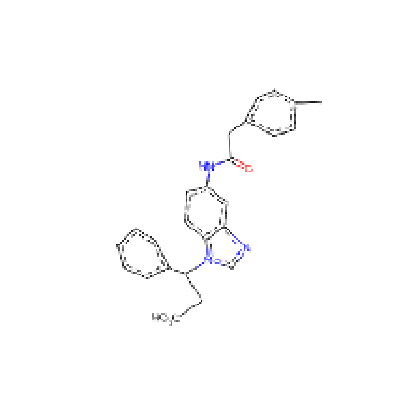 Cc1ccc(CC(=O)Nc2ccc3c(c2)ncn3C(CC(=O)O)c2ccccc2)cc1